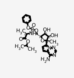 CC(C)OC(=O)[C@H](C)N[P@](=O)(OC[C@H]1O[C@@](C)(c2ccc3c(N)ncnn23)[C@H](O)[C@@H]1O)Oc1ccccc1